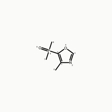 Cc1ncoc1P(C)(C)=O